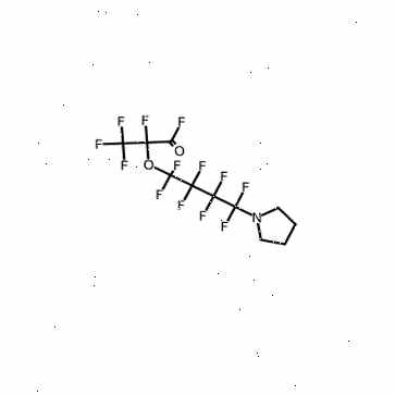 O=C(F)C(F)(OC(F)(F)C(F)(F)C(F)(F)C(F)(F)N1CCCC1)C(F)(F)F